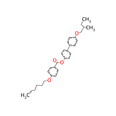 C=CCCCCOc1ccc(C(=O)Oc2ccc(-c3ccc(OCC(C)CC)cc3)cc2)cc1